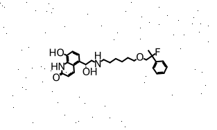 CC(F)(COCCCCCCNC[C@H](O)c1ccc(O)c2[nH]c(=O)ccc12)c1ccccc1